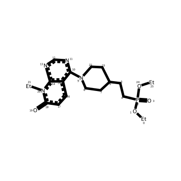 CCOP(=O)(CCC1CCN(c2ncnc3c2ccc(=O)n3CC)CC1)OCC